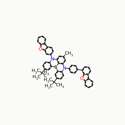 Cc1cc2c3c(c1)N(c1ccc4c(c1)oc1ccccc14)c1ccc(C(C)(C)C)cc1B3c1cc(C(C)(C)C)ccc1N2c1ccc(-c2cccc3c2oc2ccccc23)cc1